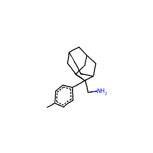 Cc1ccc(C2(CN)C3CC4CC(C3)CC2C4)cc1